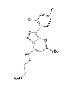 CCCCc1cc(NCCCOC)n2ncc(-c3ccc(Cl)cc3Cl)c2n1